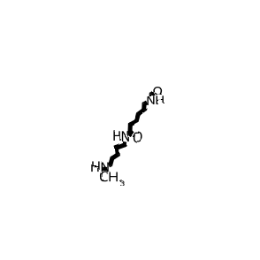 CNCCCCCNC(=O)CCCCCNC=O